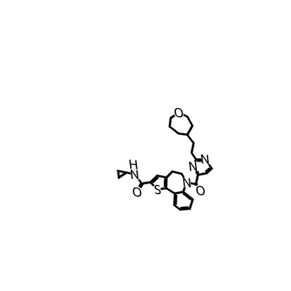 O=C(NC1CC1)c1cc2c(s1)-c1ccccc1N(C(=O)c1ccnc(CCC3CCCOCC3)n1)CC2